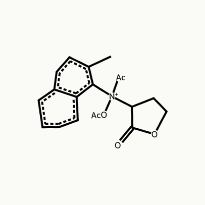 CC(=O)O[N+](C(C)=O)(c1c(C)ccc2ccccc12)C1CCOC1=O